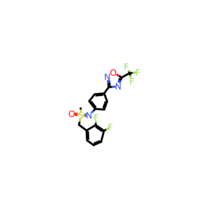 CS(=O)(Cc1cccc(F)c1F)=Nc1ccc(-c2noc(C(F)(F)F)n2)cc1